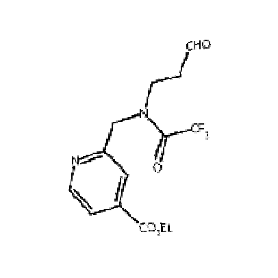 CCOC(=O)c1ccnc(CN(CCC=O)C(=O)C(F)(F)F)c1